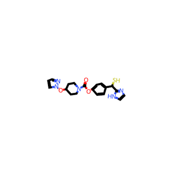 O=C(Oc1ccc(C(S)c2ncc[nH]2)cc1)N1CCC(On2cccn2)CC1